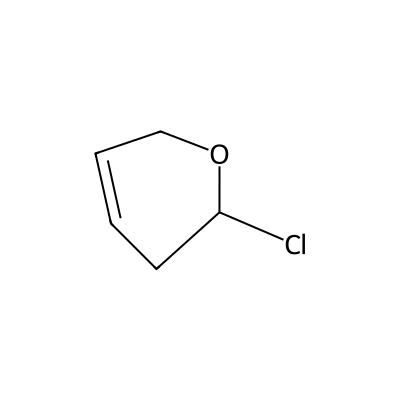 ClC1CC=CCO1